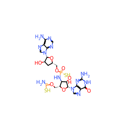 Nc1nc2c(ncn2[C@@H]2O[C@H](CO[P@](N)S)[C@@H](N[P@@](=O)(S)OC[C@@H]3C[C@@H](O)[C@H](n4cnc5c(N)ncnc54)O3)[C@H]2O)c(=O)[nH]1